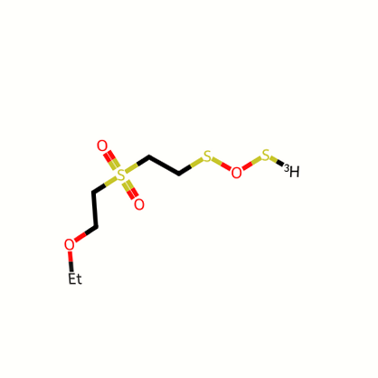 [3H]SOSCCS(=O)(=O)CCOCC